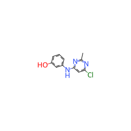 Cc1nc(Cl)cc(Nc2cccc(O)c2)n1